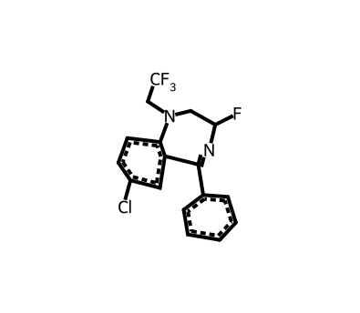 FC1CN(CC(F)(F)F)c2ccc(Cl)cc2C(c2ccccc2)=N1